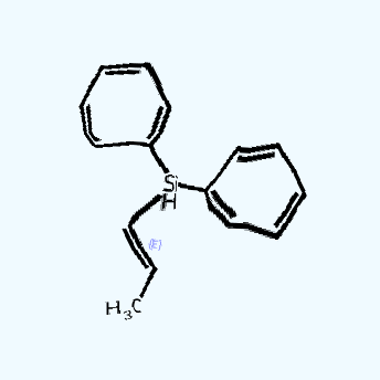 C/C=C/[SiH](c1ccccc1)c1ccccc1